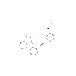 COC(=O)c1cccc(C#Cc2ccccc2)c1CCCN1C(=O)c2ccccc2C1=O